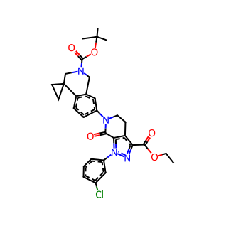 CCOC(=O)c1nn(-c2cccc(Cl)c2)c2c1CCN(c1ccc3c(c1)CN(C(=O)OC(C)(C)C)CC31CC1)C2=O